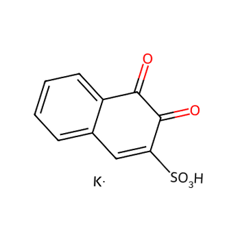 O=C1C(=O)c2ccccc2C=C1S(=O)(=O)O.[K]